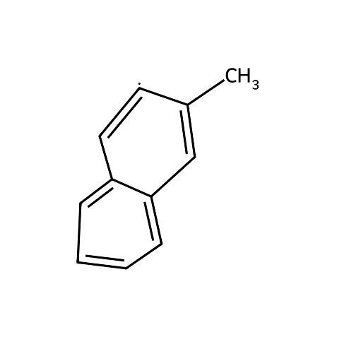 Cc1[c]cc2ccccc2c1